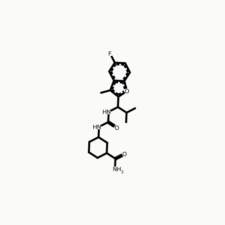 Cc1c(C(NC(=O)NC2CCCC(C(N)=O)C2)C(C)C)oc2ccc(F)cc12